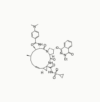 CCn1nc(O[C@@H]2C[C@H]3C(=O)N[C@]4(C(=O)NS(=O)(=O)C5CC5)C[C@H]4/C=C\CC[C@@H](C)C[C@@H](C)[C@H](NC(=O)c4ccc(N(C)C)cc4)C(=O)N3C2)c2ccccc2c1=O